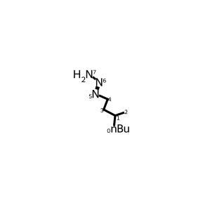 CCCCC(C)CCN=NN